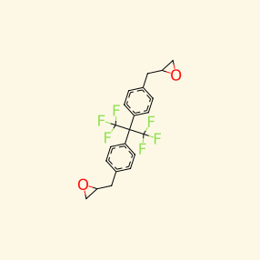 FC(F)(F)C(c1ccc(CC2CO2)cc1)(c1ccc(CC2CO2)cc1)C(F)(F)F